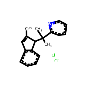 CC(C)(c1ccccn1)C1[C]([Cr+2])=Cc2ccccc21.[Cl-].[Cl-]